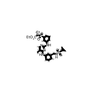 CCOC(=O)N(CC)S(=O)(=O)c1cccc(Nc2ncc(C)c(Nc3cccc(CNS(=O)(=O)C4CC4)c3)n2)c1